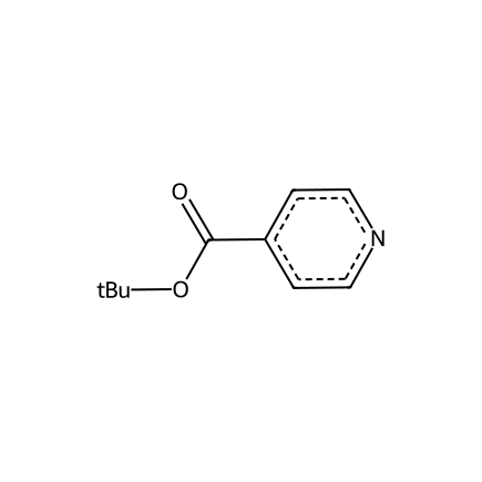 CC(C)(C)OC(=O)c1ccncc1